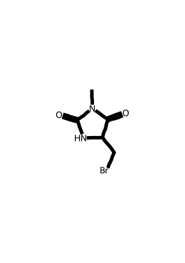 CN1C(=O)NC(CBr)C1=O